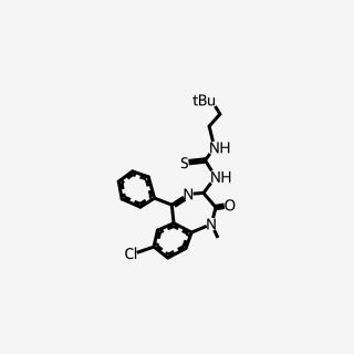 CN1C(=O)C(NC(=S)NCCC(C)(C)C)N=C(c2ccccc2)c2cc(Cl)ccc21